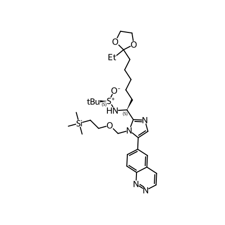 CCC1(CCCCC[C@H](N[S@+]([O-])C(C)(C)C)c2ncc(-c3ccc4nnccc4c3)n2COCC[Si](C)(C)C)OCCO1